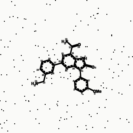 COc1cccc(-n2c(=O)[nH]c3c(C(N)=O)nc(-c4cccc(CN)c4)nc32)c1